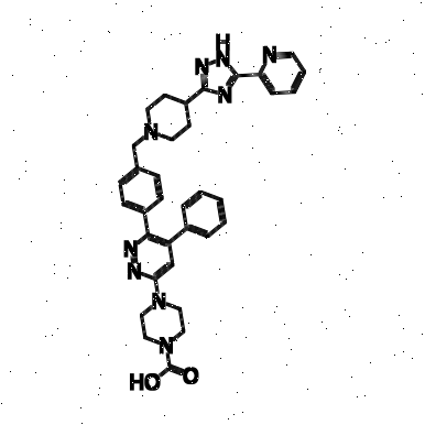 O=C(O)N1CCN(c2cc(-c3ccccc3)c(-c3ccc(CN4CCC(c5n[nH]c(-c6ccccn6)n5)CC4)cc3)nn2)CC1